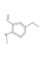 C=Cc1cc(CC)ccc1OC